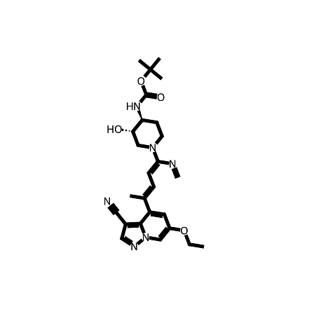 C=N/C(=C\C=C(/C)c1cc(OCC)cn2ncc(C#N)c12)N1CC[C@H](NC(=O)OC(C)(C)C)[C@@H](O)C1